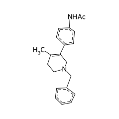 CC(=O)Nc1ccc(C2=C(C)CCN(Cc3ccccc3)C2)cc1